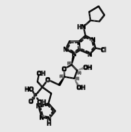 O=P(O)(O)C(CO)(Cc1c[nH]nn1)OC[C@H]1O[C@@H](n2ncc3c(NC4CCCC4)nc(Cl)nc32)[C@H](O)[C@@H]1O